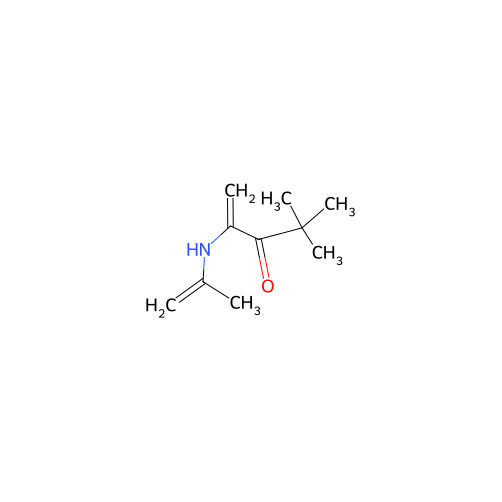 C=C(C)NC(=C)C(=O)C(C)(C)C